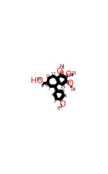 COc1ccc(C2=CC(CO)CCc3c2cc(OC)c(OC)c3OC)cc1